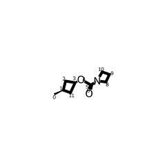 C[C@H]1C[C@@H](OC(=O)N2CCC2)C1